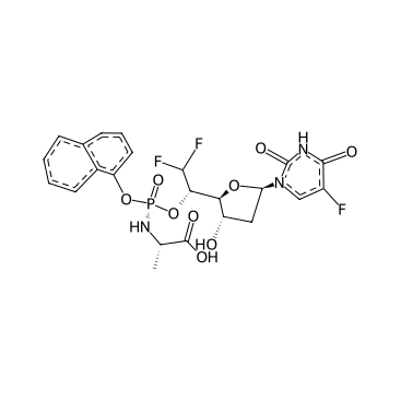 C[C@H](N[P@@](=O)(Oc1cccc2ccccc12)O[C@H](C(F)F)[C@H]1O[C@@H](n2cc(F)c(=O)[nH]c2=O)C[C@@H]1O)C(=O)O